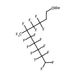 COCCC(F)(F)C(F)(F)C(F)(C(F)(F)F)C(F)(F)C(F)(F)C(F)(F)C(F)(F)C(F)F